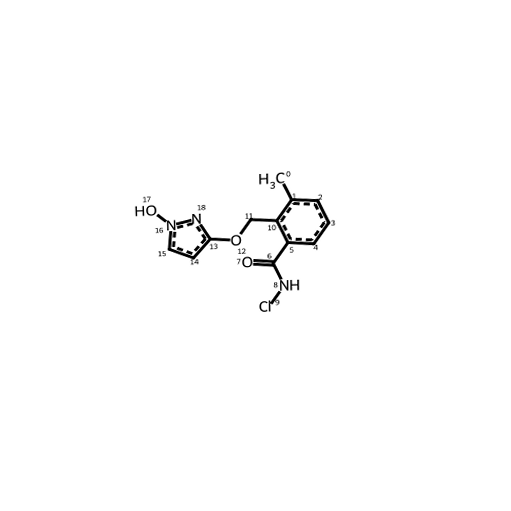 Cc1cccc(C(=O)NCl)c1COc1ccn(O)n1